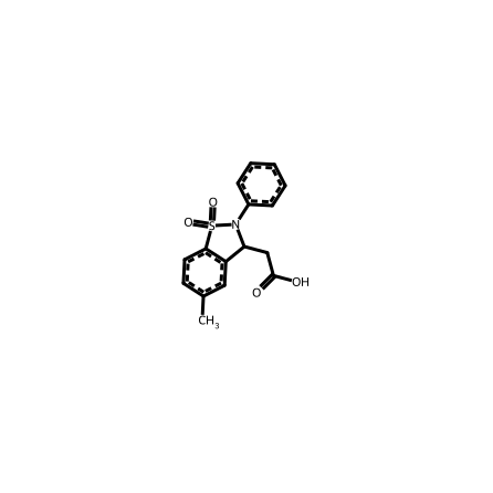 Cc1ccc2c(c1)C(CC(=O)O)N(c1ccccc1)S2(=O)=O